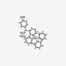 Oc1ccc(C(O)c2ccc3c(c2)C2(c4ccccc4-c4ccc(O)cc42)c2ccccc2-3)cc1